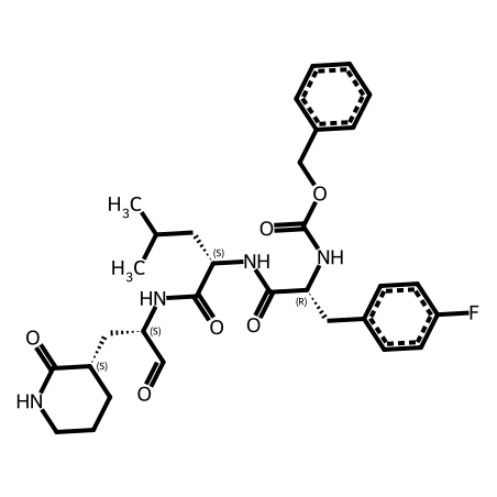 CC(C)C[C@H](NC(=O)[C@@H](Cc1ccc(F)cc1)NC(=O)OCc1ccccc1)C(=O)N[C@H](C=O)C[C@@H]1CCCNC1=O